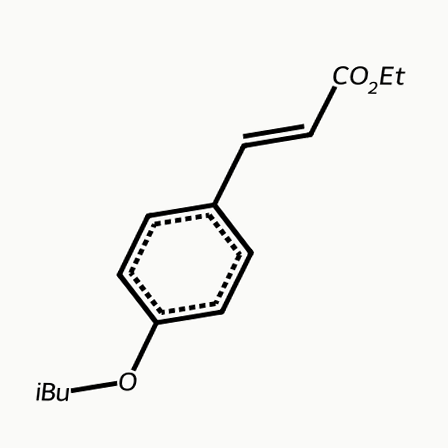 CCOC(=O)/C=C/c1ccc(OC(C)CC)cc1